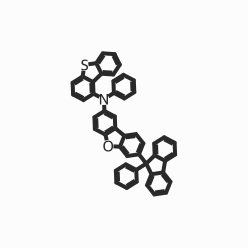 c1ccc(N(c2ccc3oc4cc(C5(c6ccccc6)c6ccccc6-c6ccccc65)ccc4c3c2)c2cccc3sc4ccccc4c23)cc1